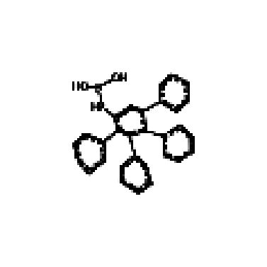 OB(O)Pc1cc(-c2ccccc2)c(-c2ccccc2)c(-c2ccccc2)c1-c1ccccc1